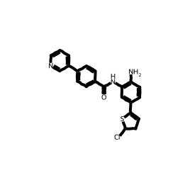 Nc1ccc(C2=CCC(Cl)S2)cc1NC(=O)c1ccc(-c2cccnc2)cc1